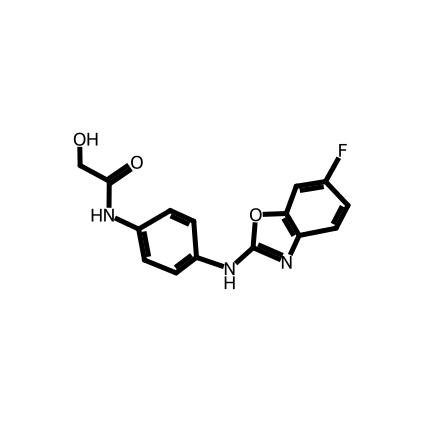 O=C(CO)Nc1ccc(Nc2nc3ccc(F)cc3o2)cc1